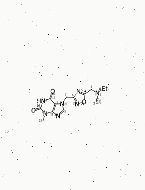 CCN(CC)Cc1nc(Cn2cnc3c2c(=O)[nH]c(=O)n3C)no1